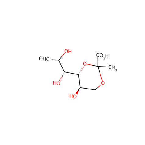 CC1(C(=O)O)OC[C@@H](O)[C@H]([C@H](O)[C@@H](O)C=O)O1